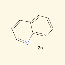 [Zn].c1ccc2ncccc2c1